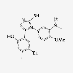 CCc1cc(-c2cnc(S)n2-c2ccc(OC)c(N(C)CC)c2)c(O)cc1C